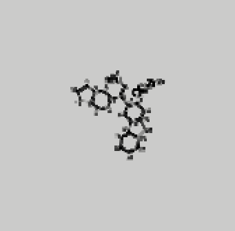 CCCCC=C(c1ccc2c(c1)C=CC2)c1ccc2c(c1)-c1ccccc1C2.[Cl-].[Cl-].[Zr+2]